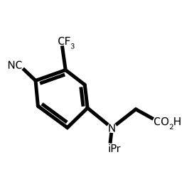 CC(C)N(CC(=O)O)c1ccc(C#N)c(C(F)(F)F)c1